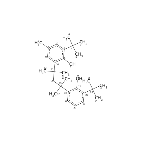 Cc1cc(C(C)(C)C)c(O)c(C(C)(C)CC(C)(C)c2cccc(C(C)(C)C)c2O)c1